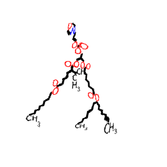 CCCCCCCCCCOC(=O)CCCCC(C(=O)OCC(COC(=O)CCCCCCC(=O)OC(CCCCCCCC)CCCCCCCC)COC(=O)OCCCN1CCOCC1)C(C)C